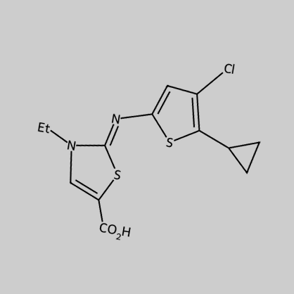 CCn1cc(C(=O)O)s/c1=N\c1cc(Cl)c(C2CC2)s1